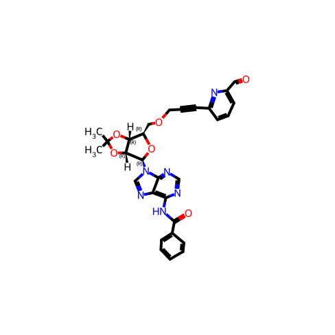 CC1(C)O[C@@H]2[C@H](O1)[C@@H](COCC#Cc1cccc(C=O)n1)O[C@H]2n1cnc2c(NC(=O)c3ccccc3)ncnc21